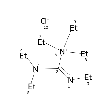 CCN=C(N(CC)CC)[N+](CC)(CC)CC.[Cl-]